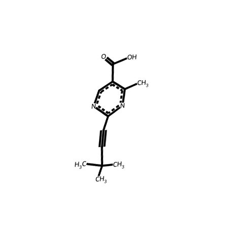 Cc1nc(C#CC(C)(C)C)ncc1C(=O)O